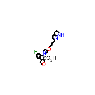 O=C(O)[C@H](c1cc(F)ccc1C1CCOCC1)N1CC[C@@H](OCCCCc2ccc3c(n2)NCCC3)C1